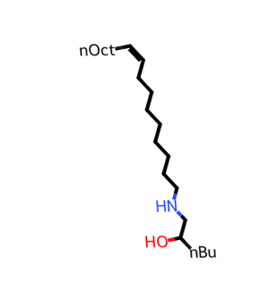 CCCCCCCC/C=C\CCCCCCCCNCC(O)CCCC